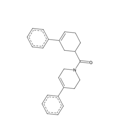 O=C(C1CCC=C(c2ccccc2)C1)N1CC=C(c2ccccc2)CC1